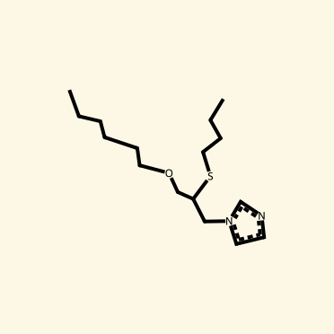 CCCCCCOCC(Cn1ccnc1)SCCCC